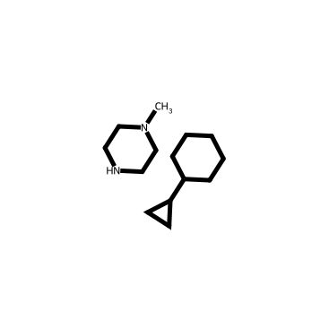 C1CCC(C2CC2)CC1.CN1CCNCC1